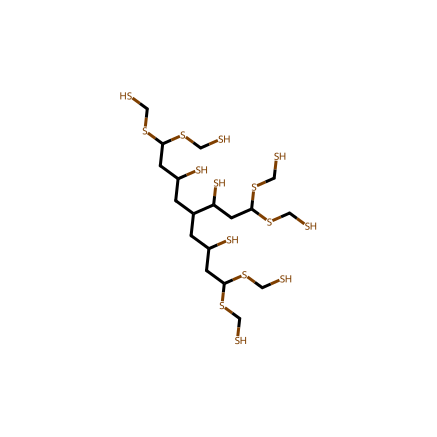 SCSC(CC(S)CC(CC(S)CC(SCS)SCS)C(S)CC(SCS)SCS)SCS